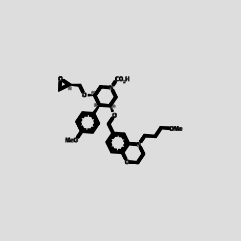 COCCCN1CCOc2ccc(CO[C@H]3CN(C(=O)O)C[C@@H](OC[C@H]4CO4)[C@@H]3c3ccc(OC)cc3)cc21